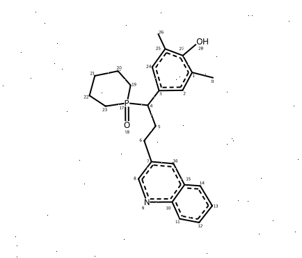 Cc1cc(C(CCc2cnc3ccccc3c2)P2(=O)CCCCC2)cc(C)c1O